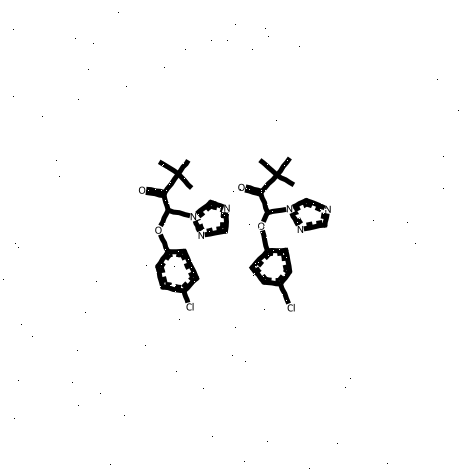 CC(C)(C)C(=O)C(Oc1ccc(Cl)cc1)n1cncn1.CC(C)(C)C(=O)C(Oc1ccc(Cl)cc1)n1cncn1